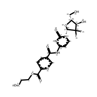 CCCCCCCCCCCCOC(=O)c1ccc(C(=O)Nc2ccn([C@@H]3O[C@H](CO)[C@@H](O)C3(F)F)c(=O)n2)cn1